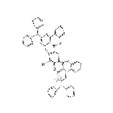 C=C(/C=C1\C2=C(C)Oc3c(cc4c(c3C(C)C)Oc3cc(N(c5ccccc5)c5ccccc5)cc5c3B4Oc3ccccc3-5)B2Oc2ccccc21)N(c1ccccc1)c1ccccc1